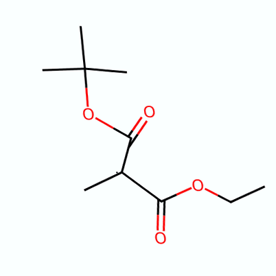 CCOC(=O)[C](C)C(=O)OC(C)(C)C